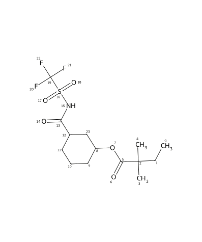 CCC(C)(C)C(=O)OC1CCCC(C(=O)NS(=O)(=O)C(F)(F)F)C1